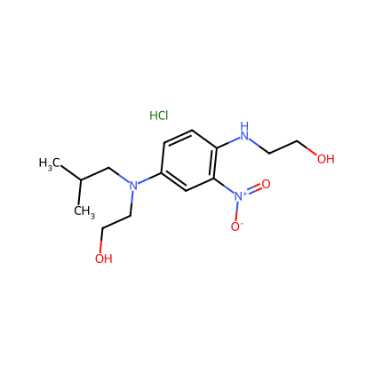 CC(C)CN(CCO)c1ccc(NCCO)c([N+](=O)[O-])c1.Cl